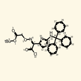 CC(C)(C)OC(=O)CON=C(C(=O)Cl)c1csc(NC(c2ccccc2)(c2ccccc2)c2ccccc2)n1